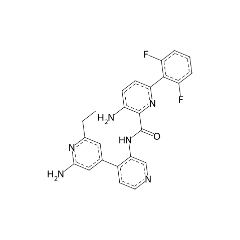 CCc1cc(-c2ccncc2NC(=O)c2nc(-c3c(F)cccc3F)ccc2N)cc(N)n1